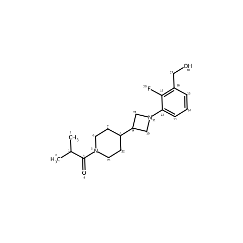 CC(C)C(=O)N1CCC(C2CN(c3cccc(CO)c3F)C2)CC1